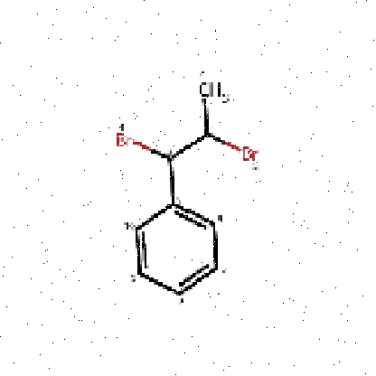 CC(Br)C(Br)c1ccccc1